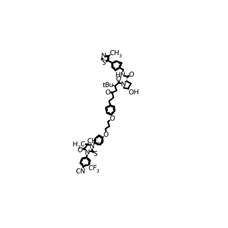 Cc1ncsc1-c1ccc(CNC(=O)[C@@H]2C[C@@H](O)CN2C(=O)[C@@H](CC(=O)CCc2ccc(OCCCOc3ccc(N4C(=S)N(c5ccc(C#N)c(C(F)(F)F)c5)C(=O)C4(C)C)cc3)cc2)C(C)(C)C)cc1